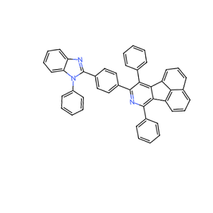 c1ccc(-c2nc(-c3ccc(-c4nc5ccccc5n4-c4ccccc4)cc3)c(-c3ccccc3)c3c2-c2cccc4cccc-3c24)cc1